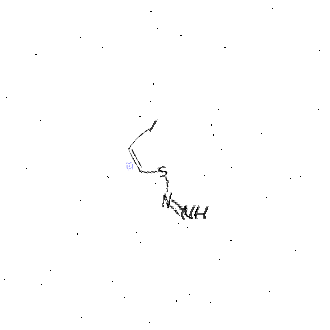 N=NS/C=C\I